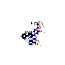 Cc1ncnc(C(C)C)c1-n1c(=O)nc(N2C[C@@H](C)N(C(=O)OC(C)(C)C)C[C@@H]2C)c2cc(Cl)c(-c3ccccc3F)nc21